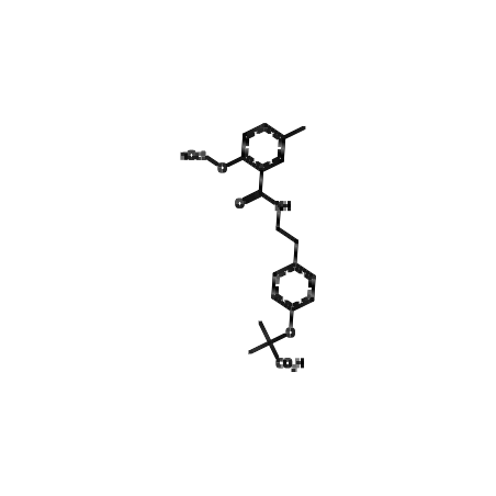 CCCCCCCCOc1ccc(C)cc1C(=O)NCCc1ccc(OC(C)(C)C(=O)O)cc1